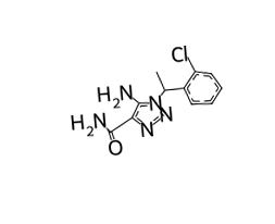 CC(c1ccccc1Cl)n1nnc(C(N)=O)c1N